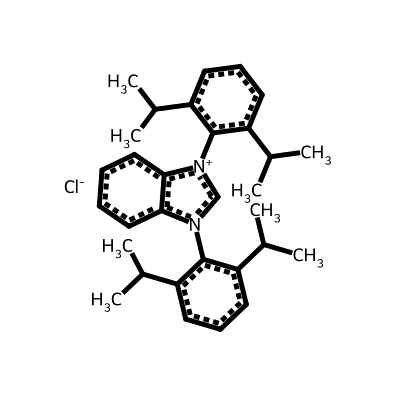 CC(C)c1cccc(C(C)C)c1-n1c[n+](-c2c(C(C)C)cccc2C(C)C)c2ccccc21.[Cl-]